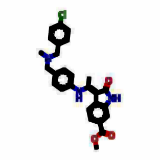 COC(=O)c1ccc2c(c1)NC(=O)C2=C(C)Nc1ccc(CN(C)Cc2ccc(Cl)cc2)cc1